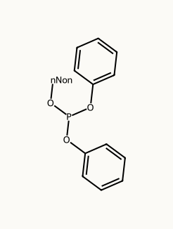 CCCCCCCCCOP(Oc1ccccc1)Oc1ccccc1